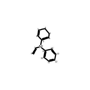 C=CN(C1=CCCC=C1)c1ccccc1